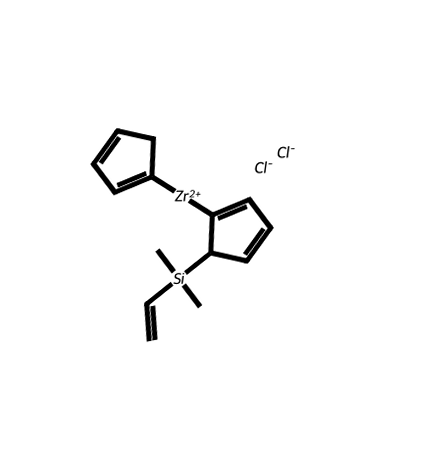 C=C[Si](C)(C)C1C=CC=[C]1[Zr+2][C]1=CC=CC1.[Cl-].[Cl-]